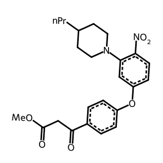 CCCC1CCN(c2cc(Oc3ccc(C(=O)CC(=O)OC)cc3)ccc2[N+](=O)[O-])CC1